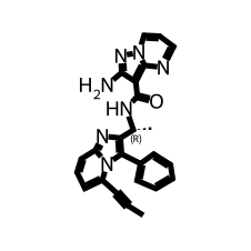 CC#Cc1cccc2nc([C@@H](C)NC(=O)c3c(N)nn4cccnc34)c(-c3ccccc3)n12